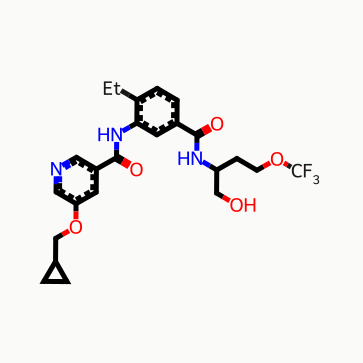 CCc1ccc(C(=O)NC(CO)CCOC(F)(F)F)cc1NC(=O)c1cncc(OCC2CC2)c1